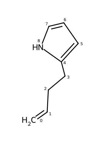 C=CCCc1ccc[nH]1